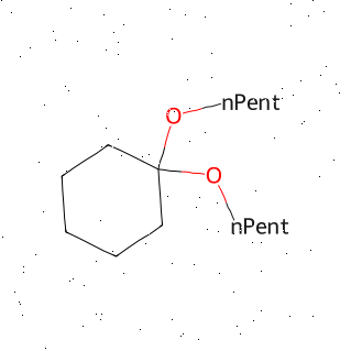 CCCCCOC1(OCCCCC)CCCCC1